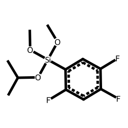 CO[Si](OC)(OC(C)C)c1cc(F)c(F)cc1F